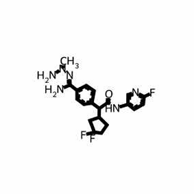 CN(N)/N=C(\N)c1ccc(C(C(=O)Nc2ccc(F)nc2)C2CCC(F)(F)C2)cc1